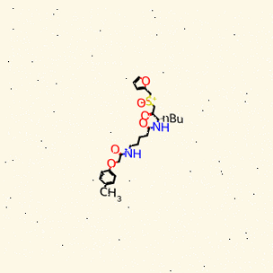 CCCC[C@H](NC(=O)CCCCNC(=O)COc1ccc(C)cc1)C(=O)C[S@@+]([O-])Cc1ccco1